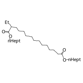 CCCCCCCOC(=O)CCCCCCCCCCCCC(CC)C(=O)OCCCCCCC